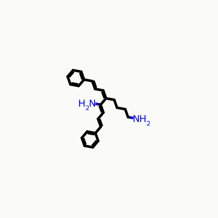 NCCCCC(=CC=Cc1ccccc1)C(N)=CC=Cc1ccccc1